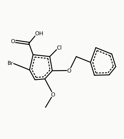 COc1cc(Br)c(C(=O)O)c(Cl)c1OCc1ccccc1